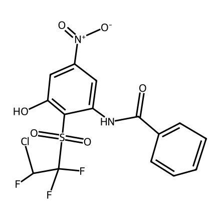 O=C(Nc1cc([N+](=O)[O-])cc(O)c1S(=O)(=O)C(F)(F)C(F)Cl)c1ccccc1